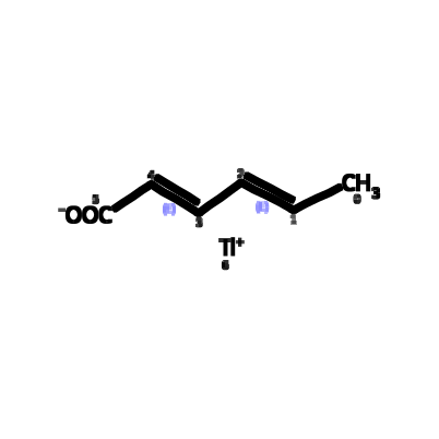 C/C=C/C=C/C(=O)[O-].[Tl+]